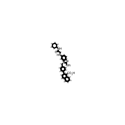 CCCc1nc2ccc(NCC(=O)NC3CCCCC3)cc2n1Cc1ccc(-c2ccc3ccccc3c2C(=O)O)cc1